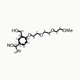 COCCOCCOCCOc1ccc(C(C#N)C(C)C)cc1CO